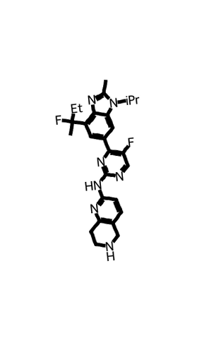 CCC(C)(F)c1cc(-c2nc(Nc3ccc4c(n3)CCNC4)ncc2F)cc2c1nc(C)n2C(C)C